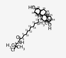 CC(C)(Cl)CNC(=O)CCCCCCCCCC[C@H]1C[C@]2(C)[C@@H](O)CC[C@H]2[C@@H]2CCc3cc(O)ccc3[C@@H]12